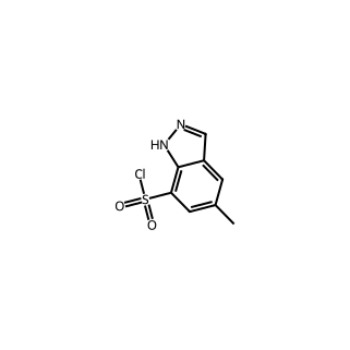 Cc1cc(S(=O)(=O)Cl)c2[nH]ncc2c1